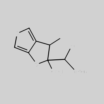 CCCCCC(CC)C1(C(=O)O)Sc2cscc2C1F